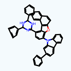 c1ccc(-c2ccc3c4ccccc4n(-c4ccc(C5=NC(c6ccccc6)NC(c6ccccc6)N5)c5c4oc4ccc6ccccc6c45)c3c2)cc1